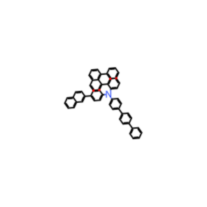 c1ccc(-c2ccc(-c3ccc(N(c4ccc(-c5ccc6ccccc6c5)cc4)c4ccccc4-c4cccc5cccc(-c6ccccc6)c45)cc3)cc2)cc1